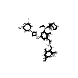 CCN(c1cc(O[C@H]2C[C@H](N3C[C@@H](C)O[C@@H](C)C3)C2)cc(CNCc2c(C)cc(C)[nH]c2=O)c1C)C1CC2CCC1CO2